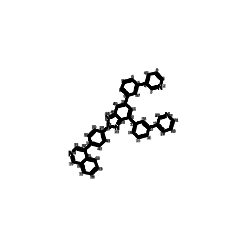 c1cncc(-c2cccc(-c3cc(-c4cccc(-c5cccnc5)c4)c4nn(-c5ccc(-c6cncc7ccccc67)cc5)nc4c3)c2)c1